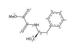 COC(=O)C(=O)N[C@@H](Cc1ccccc1)C(=O)O